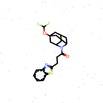 O=C(CCc1nc2ccccc2s1)N1C2CC3CC1CC(OC(F)F)(C3)C2